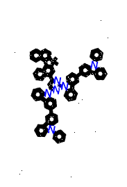 CC1(C)c2ccc3ccccc3c2-c2c1cc(-c1cc(-n3c4ccccc4c4cc(-c5ccc6c(c5)c5ccccc5n6-c5ccccc5)ccc43)nc(-n3c4ccccc4c4cc(-c5ccc6c(c5)c5ccccc5n6-c5ccccc5)ccc43)n1)c1ccccc21